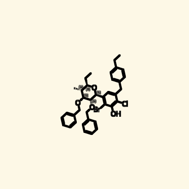 CCc1ccc(Cc2cc([C@@H]3O[C@H](CC)[C@@H](C)[C@H](OCc4ccccc4)[C@H]3OCc3ccccc3)c(Br)c(O)c2Cl)cc1